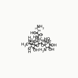 CC(N)[C@@H](O[C@H]1OC(CO)[C@@H](O)[C@H](O)C1N)[C@H](O[C@@H]1O[C@H]([C@H](C)N)C(O)[C@@H]1O)C(O)CNC(=O)[C@@H](O)CCN